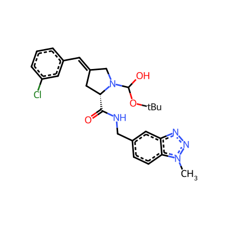 Cn1nnc2cc(CNC(=O)[C@@H]3C/C(=C\c4cccc(Cl)c4)CN3C(O)OC(C)(C)C)ccc21